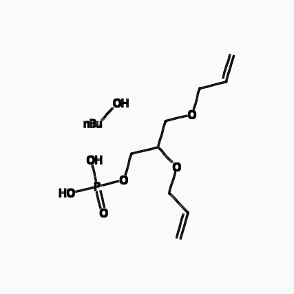 C=CCOCC(COP(=O)(O)O)OCC=C.CCCCO